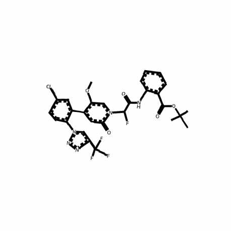 COc1cn(C(F)C(=O)Nc2ccccc2C(=O)OC(C)(C)C)c(=O)cc1-c1cc(Cl)ccc1-n1cc(C(F)(F)F)nn1